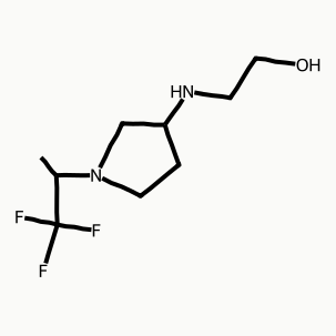 CC(N1CCC(NCCO)C1)C(F)(F)F